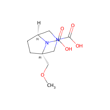 COC[C@@]12CC[C@@H](CN(C(=O)O)C1)N2C(=O)O